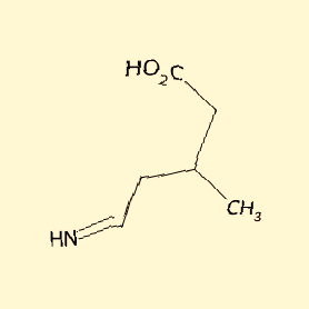 CC(CC=N)CC(=O)O